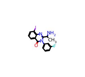 CC(N)c1nc2c(I)cccc2c(=O)n1-c1cccc(F)c1